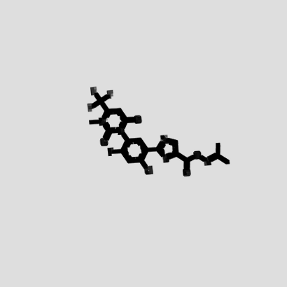 CC(C)=NOC(=O)c1cnc(-c2cc(-n3c(=O)cc(C(F)(F)F)n(C)c3=O)c(F)cc2Cl)s1